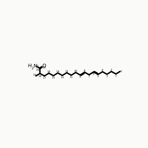 CCCCCC=CCC=CCCCCCCCCC(C)C(N)=O